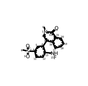 Cn1cc(-c2cc(S(C)(=O)=O)ccc2NF)c2ccccc2c1=O